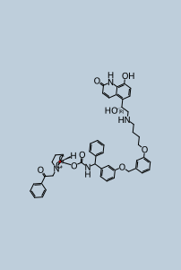 O=C(NC(c1ccccc1)c1cccc(OCc2cccc(OCCCCNC[C@H](O)c3ccc(O)c4[nH]c(=O)ccc34)c2)c1)O[C@H]1C[N+]2(CC(=O)c3ccccc3)CCC1CC2